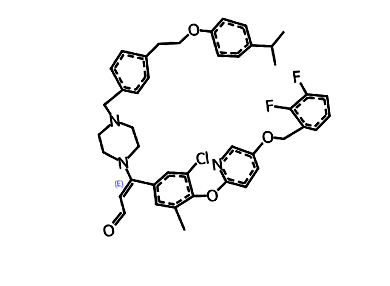 Cc1cc(/C(=C\C=O)N2CCN(Cc3ccc(CCOc4ccc(C(C)C)cc4)cc3)CC2)cc(Cl)c1Oc1ccc(OCc2cccc(F)c2F)cn1